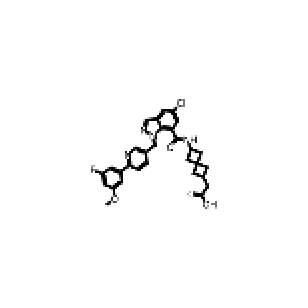 COc1cc(F)cc(-c2ccc(Cn3ncc4cc(Cl)cc(C(=O)NC5CC6(CC(CC(=O)O)C6)C5)c43)cn2)c1